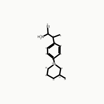 CCC(N)C(C)c1ccc(N2CCCC(C)C2)cc1